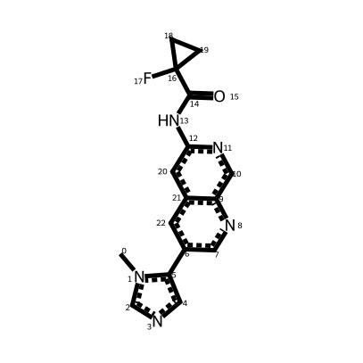 Cn1cncc1-c1cnc2cnc(NC(=O)C3(F)CC3)cc2c1